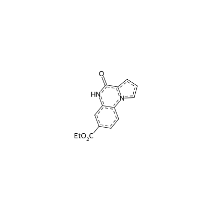 CCOC(=O)c1ccc2c(c1)[nH]c(=O)c1cccn12